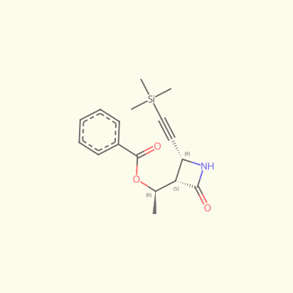 C[C@@H](OC(=O)c1ccccc1)[C@H]1C(=O)N[C@H]1C#C[Si](C)(C)C